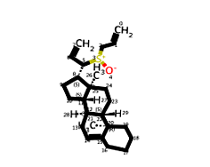 C=CC[S+]([O-])C(C=C)[C@H]1CC[C@H]2[C@@H]3CC=C4CCCC[C@]4(C)[C@H]3CC[C@]12C